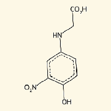 O=C(O)CNc1ccc(O)c([N+](=O)[O-])c1